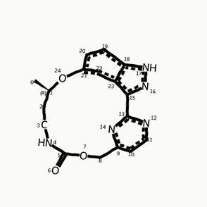 C[C@@H]1CCNC(=O)OCc2ccnc(n2)-c2n[nH]c3ccc(cc23)O1